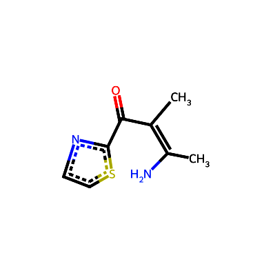 CC(N)=C(C)C(=O)c1nccs1